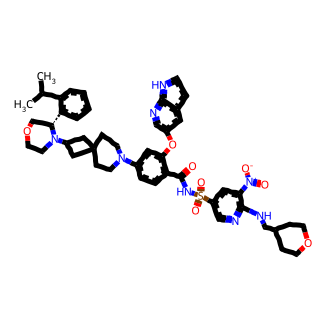 CC(C)c1ccccc1[C@H]1COCCN1C1CC2(CCN(c3ccc(C(=O)NS(=O)(=O)c4cnc(NCC5CCOCC5)c([N+](=O)[O-])c4)c(Oc4cnc5[nH]ccc5c4)c3)CC2)C1